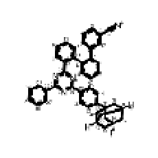 N#Cc1cccc(-c2ccccc2-c2ccccc2-c2nc(-c3ccccc3)nc(-c3ccc(C45C[C@H]6C[C@@H](C4)C[C@@H](C5)C6)cc3)n2)c1